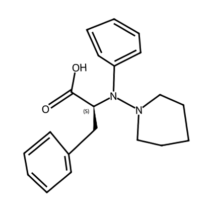 O=C(O)[C@H](Cc1ccccc1)N(c1ccccc1)N1CCCCC1